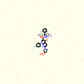 CC(C)(NC(=O)c1cn(-c2ccc(F)cc2F)c2nc(N3CC[C@@H](O)C3)ccc2c1=O)c1c(F)cccc1F